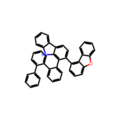 c1ccc(-c2ccccc2-c2ccccc2-c2c(-c3cccc4oc5ccccc5c34)ccc3c2[nH]c2ccccc23)cc1